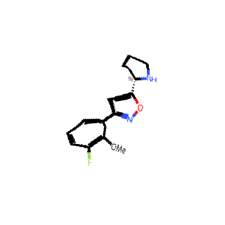 COc1c(F)cccc1-c1cc([C@@H]2CCCN2)on1